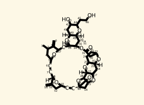 C=C1C(C)CC2CC[C@@H]3OC(CC[C@@]45CC6OC7C(O4)[C@H]4OC(CCC4O[C@H]7C6O5)CC(=O)OC4[C@H](CC1O2)O[C@H]1CC(O)C(CCO)O[C@H]1[C@@H]4C)CC3=C